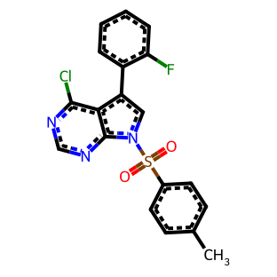 Cc1ccc(S(=O)(=O)n2cc(-c3ccccc3F)c3c(Cl)ncnc32)cc1